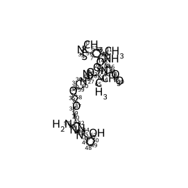 Cc1ncsc1-c1ccc([C@H](C)NC(=O)[C@@H]2C[C@@H](OC=O)CN2C(=O)C(c2cc(N3CCC(OC4CC(OCC#Cc5cn6cc(-c7ccccc7O)nc6nc5N)C4)CC3)no2)C(C)C)cc1